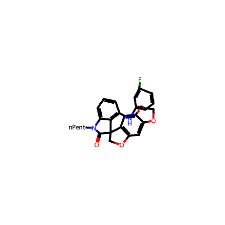 CCCCCN1C(=O)C2(COc3cc4c(cc32)OCO4)c2c(Nc3cccc(F)c3)cccc21